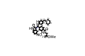 COC(=O)CNC(=O)c1ccc(/C(Nc2ccc(CN3CCCCC3)cc2)=C2/C(=O)Nc3ccc([N+](=O)[O-])cc32)cc1